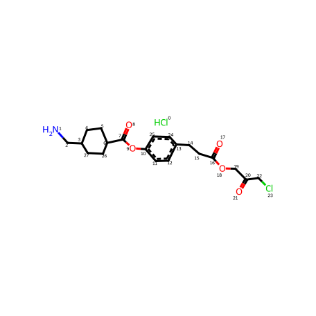 Cl.NCC1CCC(C(=O)Oc2ccc(CCC(=O)OCC(=O)CCl)cc2)CC1